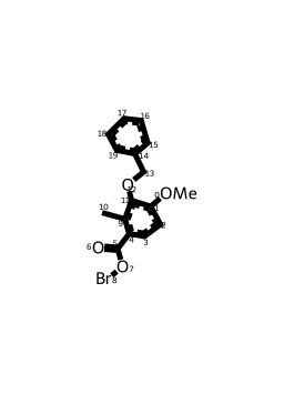 COc1ccc(C(=O)OBr)c(C)c1OCc1ccccc1